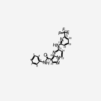 O=C(Nc1ccccc1)c1cnn2ccc(Nc3cccc(C(F)(F)F)n3)nc12